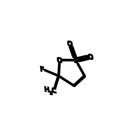 CC1(F)CCS(=O)(=O)O1